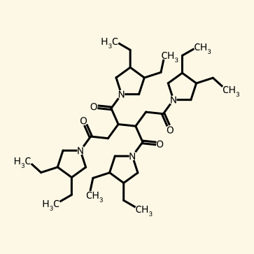 CCC1CN(C(=O)CC(C(=O)N2CC(CC)C(CC)C2)C(CC(=O)N2CC(CC)C(CC)C2)C(=O)N2CC(CC)C(CC)C2)CC1CC